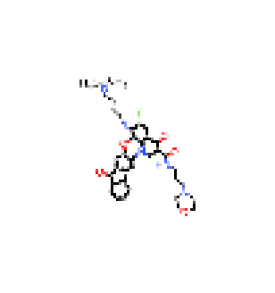 CN(C)CCCCNc1c(F)cc2c(=O)c(C(=O)NCCCN3CCOCC3)cn3c4cc5c(cc4oc1c23)c(=O)c1ccccc15